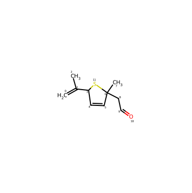 C=C(C)C1C=CC(C)(CC=O)S1